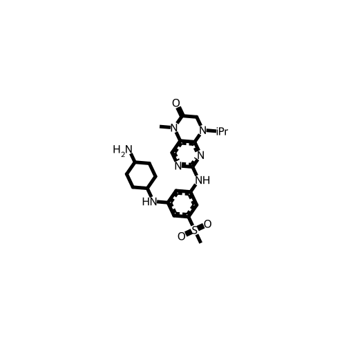 CC(C)N1CC(=O)N(C)c2cnc(Nc3cc(NC4CCC(N)CC4)cc(S(C)(=O)=O)c3)nc21